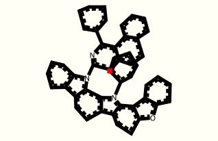 c1ccc(-c2nc(-n3c4ccccc4c4ccc5c6ccc7oc8ccccc8c7c6n(-c6ccccc6)c5c43)nc3ccc4ccccc4c23)cc1